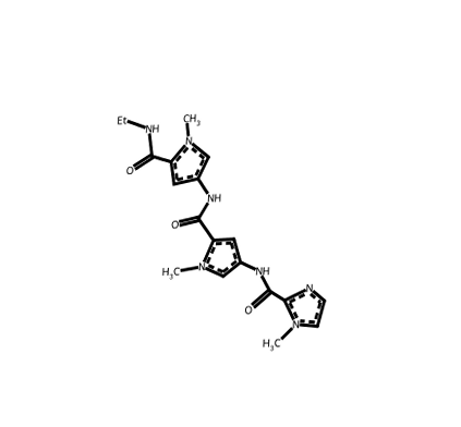 CCNC(=O)c1cc(NC(=O)c2cc(NC(=O)c3nccn3C)cn2C)cn1C